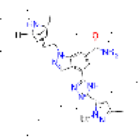 CCn1nc(C)cc1-c1nnc(-c2cc(C(N)=O)cc3c2cnn3CC=C2[C@@H]3CC[C@@H]2N3)[nH]1